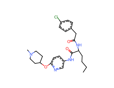 CCCCC(NC(=O)Cc1ccc(Cl)cc1)C(=O)Nc1ccc(OC2CCN(C)CC2)nc1